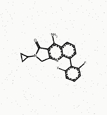 Nc1c2c(nc3c(-c4c(F)cccc4F)cccc13)CN(C1CC1)C2=O